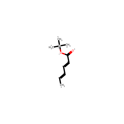 C/C=C/C=C/C(=O)O[Si](C)(C)C